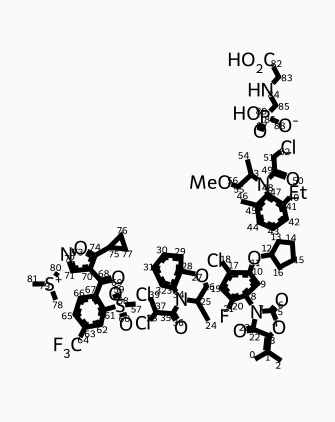 CC(C)=C1OC(=O)N(c2cc(OC3CCCC3)c(Cl)cc2F)C1=O.CC1COc2ccccc2N1C(=O)C(Cl)Cl.CCc1cccc(C)c1N(C(=O)CCl)C(C)COC.CS(=O)(=O)c1cc(C(F)(F)F)ccc1C(=O)c1cnoc1C1CC1.C[S+](C)C.O=C(O)CNCP(=O)([O-])O